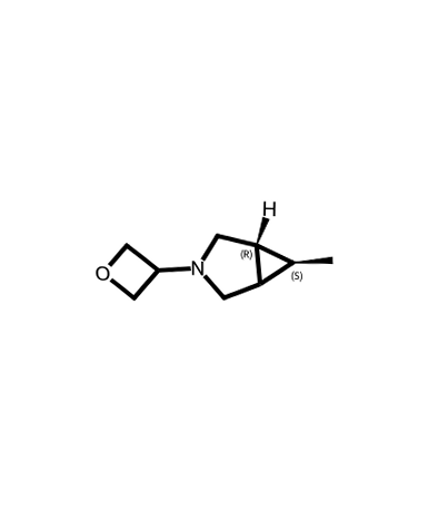 C[C@H]1C2CN(C3COC3)C[C@@H]21